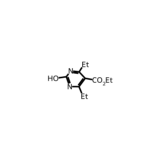 CCOC(=O)c1c(CC)nc(O)nc1CC